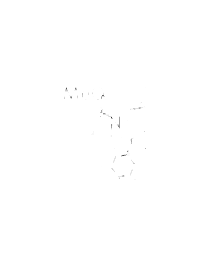 COC[C@H]1CCCN1C(C=C(C)C)CC(C)(C)c1ccccc1